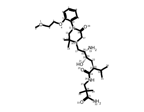 COCCOc1ccccc1N1CC(C)(C)N(C[C@H](N)[C@@H](O)C[C@H](C(=O)NCC(C)(C)C(N)=O)C(C)C)CC1=O